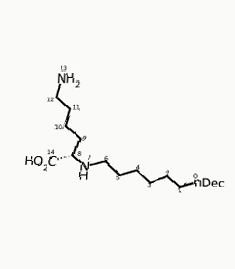 CCCCCCCCCCCCCCCCN[C@@H](CCCCN)C(=O)O